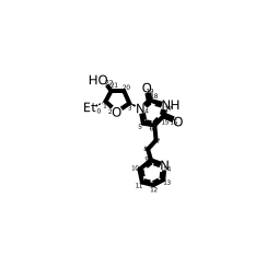 CC[C@H]1O[C@@H](n2cc(CCc3ccccn3)c(=O)[nH]c2=O)CC1O